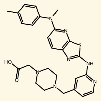 Cc1ccc(N(C)c2ccc3nc(Nc4cc(CN5CCN(CC(=O)O)CC5)ccn4)sc3n2)cc1